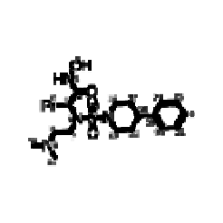 CC(C)[C@@H](C(=O)NO)N(CCN(C)C)S(=O)(=O)N1CCC(c2ccccc2)CC1